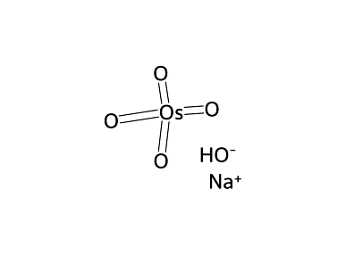 [Na+].[OH-].[O]=[Os](=[O])(=[O])=[O]